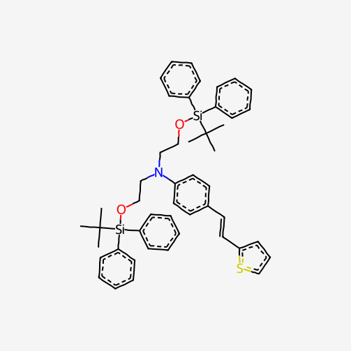 CC(C)(C)[Si](OCCN(CCO[Si](c1ccccc1)(c1ccccc1)C(C)(C)C)c1ccc(C=Cc2cccs2)cc1)(c1ccccc1)c1ccccc1